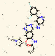 C=CC(=O)Nc1cc2c(Nc3ccnc(-c4ccc(F)cc4F)c3)ncnc2cc1O[C@@H]1CCN(C)C1